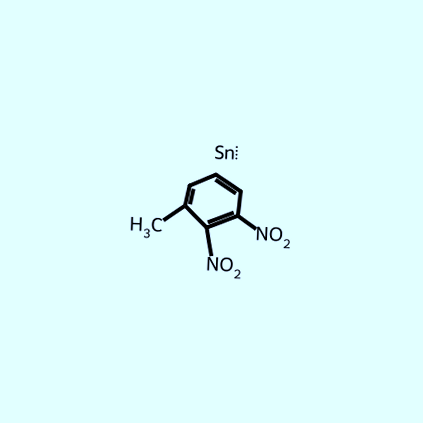 Cc1cccc([N+](=O)[O-])c1[N+](=O)[O-].[Sn]